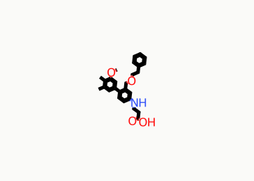 COc1cc(-c2ccc(NCCC(=O)O)cc2COCCc2ccccc2)cc(C)c1C